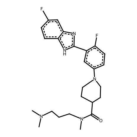 CN(C)CCCN(C)C(=O)C1CCN(c2ccc(F)c(-c3nc4cc(F)ccc4[nH]3)c2)CC1